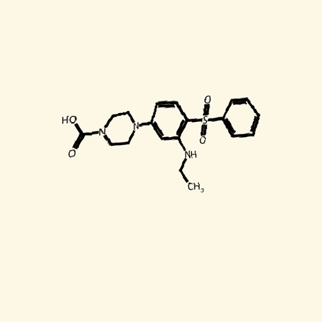 CCNc1cc(N2CCN(C(=O)O)CC2)ccc1S(=O)(=O)c1ccccc1